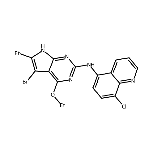 CCOc1nc(Nc2ccc(Cl)c3ncccc23)nc2[nH]c(CC)c(Br)c12